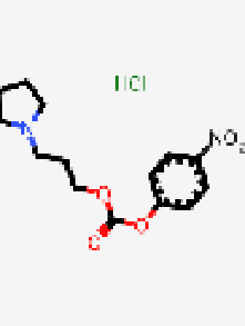 Cl.O=C(OCCCN1CCCC1)Oc1ccc([N+](=O)[O-])cc1